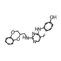 Oc1cccc(Nc2nc(NCC3COc4ccccc4O3)ncc2F)c1